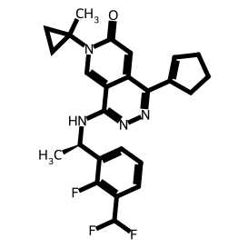 C[C@@H](Nc1nnc(C2=CCCC2)c2cc(=O)n(C3(C)CC3)cc12)c1cccc(C(F)F)c1F